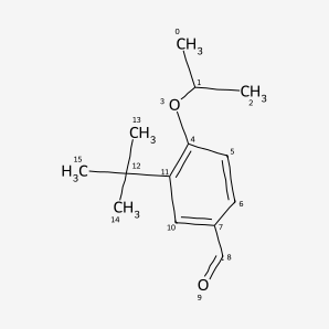 CC(C)Oc1ccc([C]=O)cc1C(C)(C)C